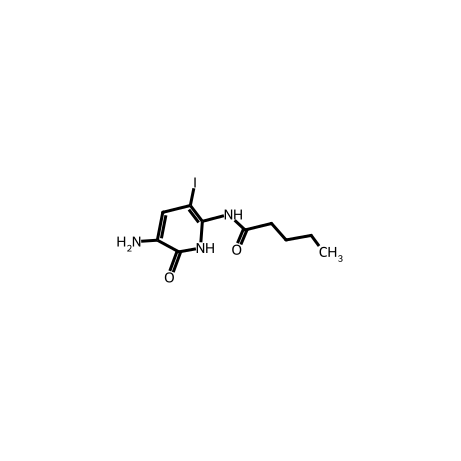 CCCCC(=O)Nc1[nH]c(=O)c(N)cc1I